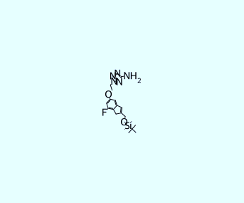 CC(C)(C)[Si](C)(C)OCC1=Cc2cc(OCCn3nnc(N)n3)cc(F)c2C1